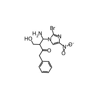 NC(C(CO)C(=O)Cc1ccccc1)n1cc([N+](=O)[O-])nc1Br